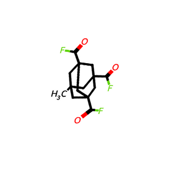 CC12CC3(C(=O)F)CC(C(=O)F)(C1)CC(C(=O)F)(C2)C3